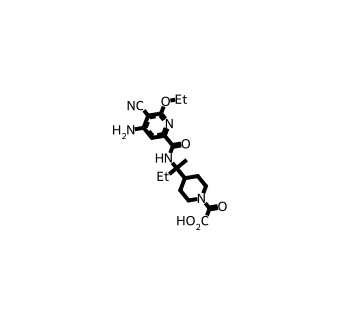 CCOc1nc(C(=O)NC(C)(CC)C2CCN(C(=O)C(=O)O)CC2)cc(N)c1C#N